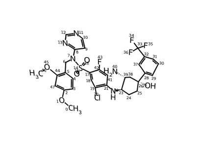 COc1ccc(CN(c2ccncn2)S(=O)(=O)c2cc(Cl)c(N[C@@H]3CC[C@](O)(c4cccc(C(F)(F)F)c4)C[C@H]3N)cc2F)c(OC)c1